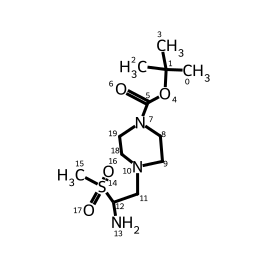 CC(C)(C)OC(=O)N1CCN(CC(N)S(C)(=O)=O)CC1